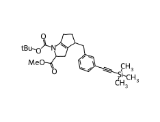 COC(=O)C1CC2=C(CCC2Cc2cccc(C#C[Si](C)(C)C)c2)N1C(=O)OC(C)(C)C